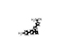 C=C(C#N)n1cc(-c2nc(C3(c4ccc(-c5cnc(N)nc5)nc4)CCC3)no2)cn1